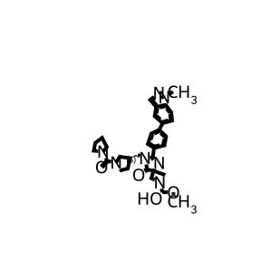 COC(O)N1CC2(C1)N=C(c1ccc(-c3ccc4c(cnn4C)c3)cc1)N(C[C@@H]1CCN(C(=O)N3CCCC3)C1)C2=O